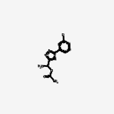 CC(OC(N)=O)c1nc(-c2ccnc(Cl)c2)no1